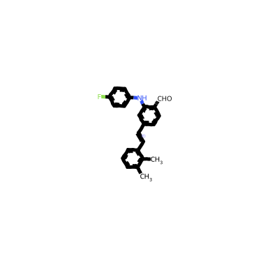 Cc1cccc(/C=C/c2ccc(C=O)c(Nc3ccc(F)cc3)c2)c1C